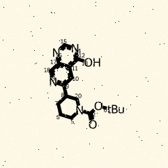 CC(C)(C)OC(=O)N1CCCC(c2cc3c(O)ncnc3cn2)C1